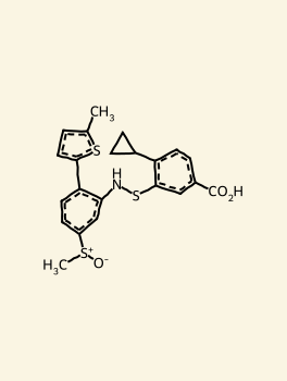 Cc1ccc(-c2ccc([S+](C)[O-])cc2NSc2cc(C(=O)O)ccc2C2CC2)s1